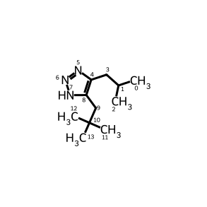 CC(C)Cc1nn[nH]c1CC(C)(C)C